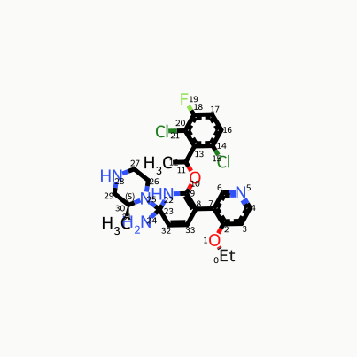 CCOc1ccncc1C1=C(OC(C)c2c(Cl)ccc(F)c2Cl)NC(N)(N2CCNC[C@@H]2C)C=C1